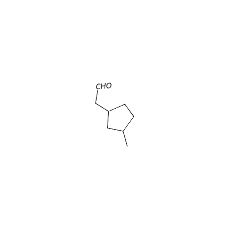 CC1CCC(CC=O)C1